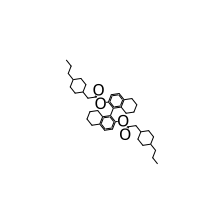 CCCC1CCC(CC(=O)Oc2ccc3c(c2-c2c(OC(=O)CC4CCC(CCC)CC4)ccc4c2CCCC4)CCCC3)CC1